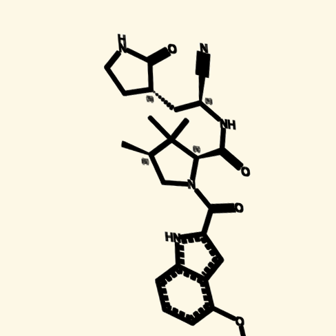 COc1cccc2[nH]c(C(=O)N3C[C@@H](C)C(C)(C)[C@H]3C(=O)N[C@H](C#N)C[C@@H]3CCNC3=O)cc12